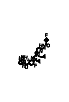 C[C@@H](NC(=O)C12CC(F)(C1)C2)c1ccc2cc(-c3nc4cc(C(=O)N5C[C@H](N)[C@@H]6CC[C@H]5C6)cc(F)c4n3C3CC3)n(CC3CC3)c2n1